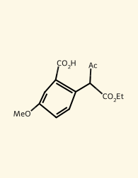 CCOC(=O)C(C(C)=O)c1ccc(OC)cc1C(=O)O